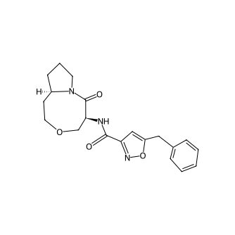 O=C(N[C@H]1COCC[C@H]2CCCN2C1=O)c1cc(Cc2ccccc2)on1